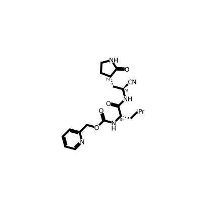 CC(C)C[C@H](NC(=O)OCc1ccccn1)C(=O)N[C@H](C#N)C[C@@H]1CCNC1=O